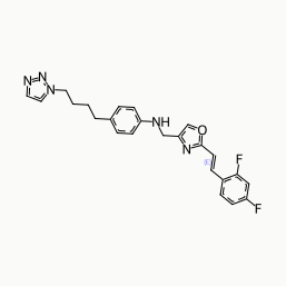 Fc1ccc(/C=C/c2nc(CNc3ccc(CCCCn4ccnn4)cc3)co2)c(F)c1